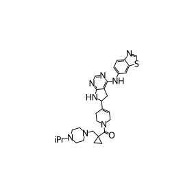 CC(C)N1CCN(CC2(C(=O)N3CC=C(C4Cc5c(Nc6ccc7ncsc7c6)ncnc5N4)CC3)CC2)CC1